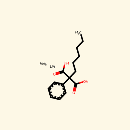 CCCCCCC(C(=O)O)(C(=O)O)c1ccccc1.[LiH].[NaH]